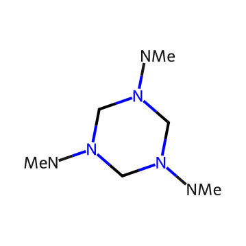 CNN1CN(NC)CN(NC)C1